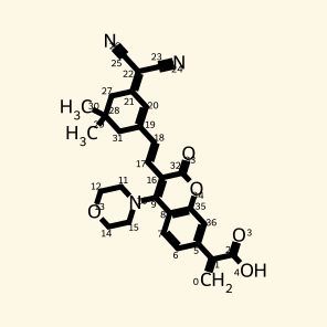 C=C(C(=O)O)c1ccc2c(N3CCOCC3)c(C=CC3=CC(=C(C#N)C#N)CC(C)(C)C3)c(=O)oc2c1